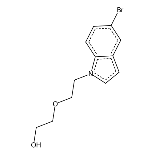 OCCOCCn1ccc2cc(Br)ccc21